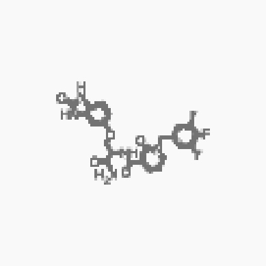 NC(=O)C(COc1ccc2[nH]c(=O)[nH]c2c1)NC(=O)c1cccn(Cc2cc(F)c(F)c(F)c2)c1=O